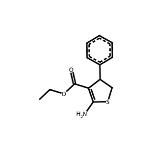 CCOC(=O)C1=C(N)SCC1c1ccccc1